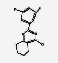 Fc1cc(F)cc(-c2nc(Cl)c3c(n2)CCCC3)c1